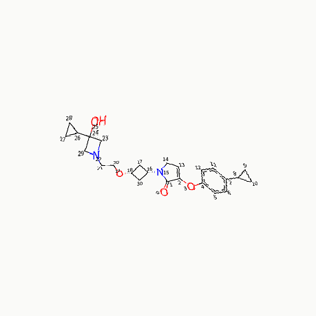 O=C1C(Oc2ccc(C3CC3)cc2)=CCN1[C@H]1C[C@@H](OCCN2CC(O)(C3CC3)C2)C1